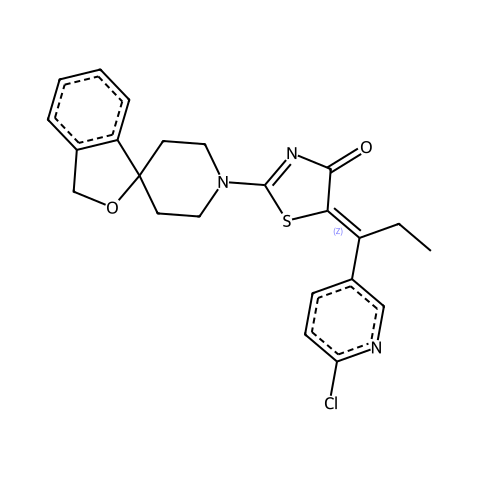 CC/C(=C1/SC(N2CCC3(CC2)OCc2ccccc23)=NC1=O)c1ccc(Cl)nc1